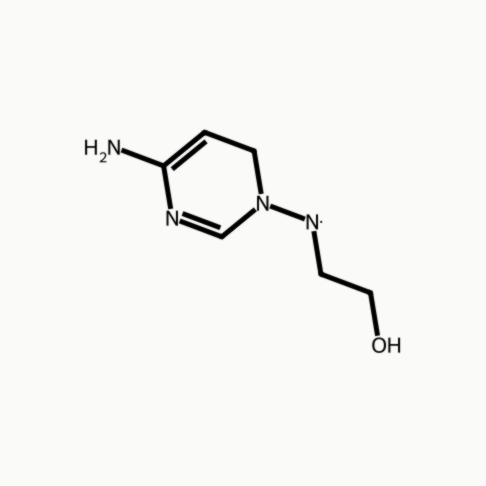 NC1=CCN([N]CCO)C=N1